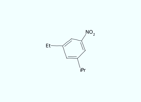 [CH2]C(C)c1cc(CC)cc([N+](=O)[O-])c1